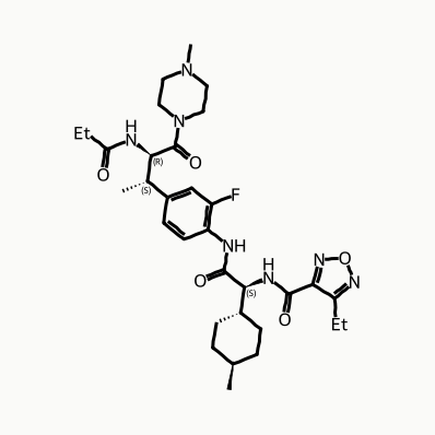 CCC(=O)N[C@@H](C(=O)N1CCN(C)CC1)[C@@H](C)c1ccc(NC(=O)[C@@H](NC(=O)c2nonc2CC)[C@H]2CC[C@H](C)CC2)c(F)c1